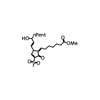 CCCCCC(O)C=CC1C=C(S(C)(=O)=O)C(=O)C1=CCCCCCC(=O)OC